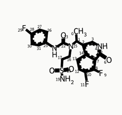 CC(c1c[nH]c(=O)c2c(F)c(F)ccc12)N(CCS(N)(=O)=O)C(=O)Nc1ccc(F)cc1